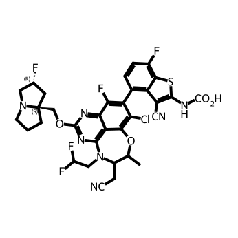 CC1Oc2c(Cl)c(-c3ccc(F)c4sc(NC(=O)O)c(C#N)c34)c(F)c3nc(OC[C@@]45CCCN4C[C@H](F)C5)nc(c23)N(CC(F)F)C1CC#N